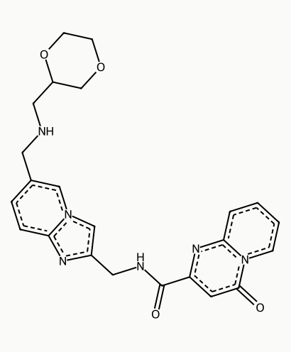 O=C(NCc1cn2cc(CNCC3COCCO3)ccc2n1)c1cc(=O)n2ccccc2n1